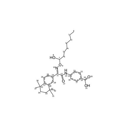 CCCCCCCC(O)ON=C(C(=O)Nc1ccc(C(=O)O)cc1)c1ccc2c(c1)C(C)(C)CCC2(C)C